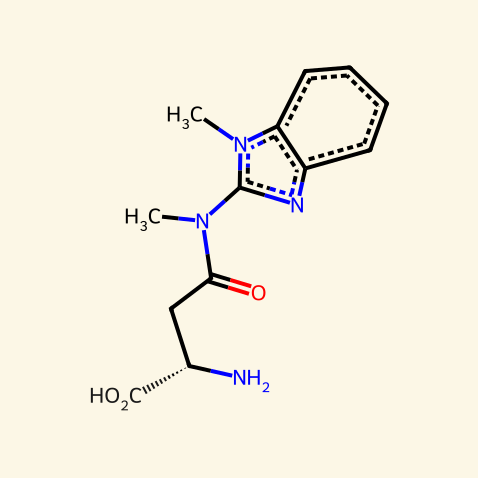 CN(C(=O)C[C@H](N)C(=O)O)c1nc2ccccc2n1C